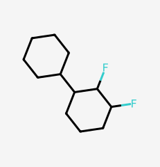 FC1CCCC(C2CCCCC2)C1F